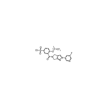 CCS(=O)(=O)c1ccc(O[C@@H](C)C(F)(F)F)c(C(=O)N2Cc3cn(-c4cncc(F)c4)nc3C2)c1